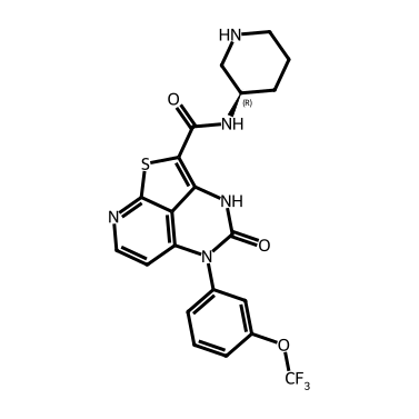 O=C(N[C@@H]1CCCNC1)c1sc2nccc3c2c1NC(=O)N3c1cccc(OC(F)(F)F)c1